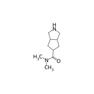 CN(C)C(=O)C1CC2CNCC2C1